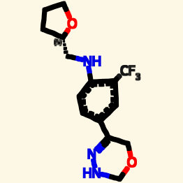 FC(F)(F)c1cc(C2=NNCOC2)ccc1NC[C@@H]1CCCO1